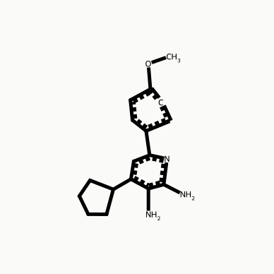 COc1ccc(-c2cc(C3CCCC3)c(N)c(N)n2)cc1